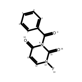 O=C(c1ccccc1)n1c(=O)ccn(F)c1=O